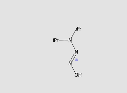 CC(C)N(/N=N/O)C(C)C